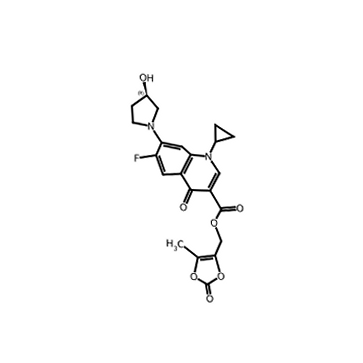 Cc1oc(=O)oc1COC(=O)c1cn(C2CC2)c2cc(N3CC[C@@H](O)C3)c(F)cc2c1=O